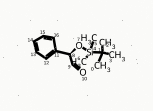 CC(C)(C)[Si](C)(C)O[C@@H](C=O)c1ccccc1